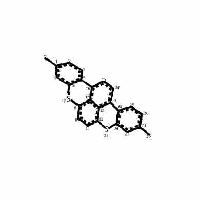 Cc1ccc2c(c1)Sc1ccc3c4c(ccc-2c14)-c1ccc(C)cc1S3